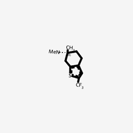 CN[C@]1(C)CCc2cc(C(F)(F)F)sc2C1